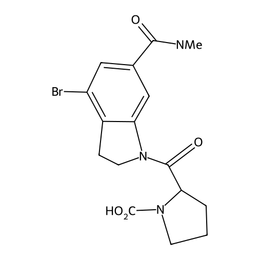 CNC(=O)c1cc(Br)c2c(c1)N(C(=O)C1CCCN1C(=O)O)CC2